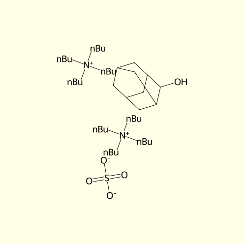 CCCC[N+](CCCC)(CCCC)CCCC.CCCC[N+](CCCC)(CCCC)CCCC.O=S(=O)([O-])[O-].OC1C2CC3CC(C2)CC1C3